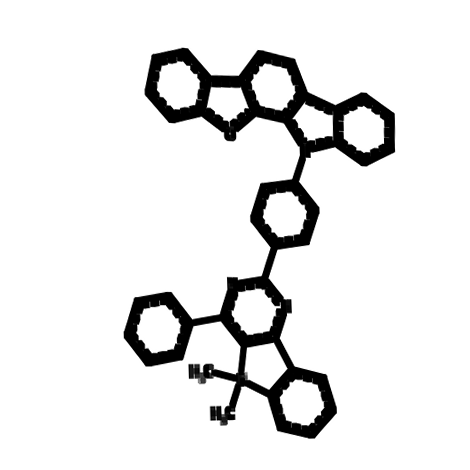 C[Si]1(C)c2ccccc2-c2nc(-c3ccc(-n4c5ccccc5c5ccc6c7ccccc7oc6c54)cc3)nc(-c3ccccc3)c21